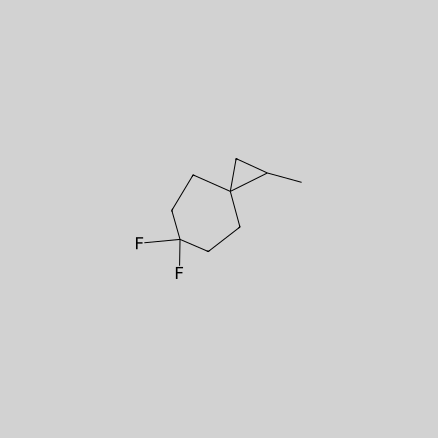 CC1CC12CCC(F)(F)CC2